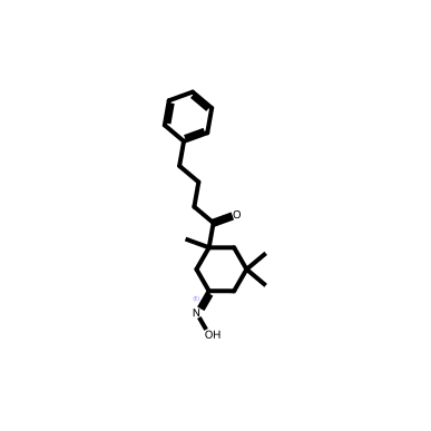 CC1(C)C/C(=N\O)CC(C)(C(=O)CCCc2ccccc2)C1